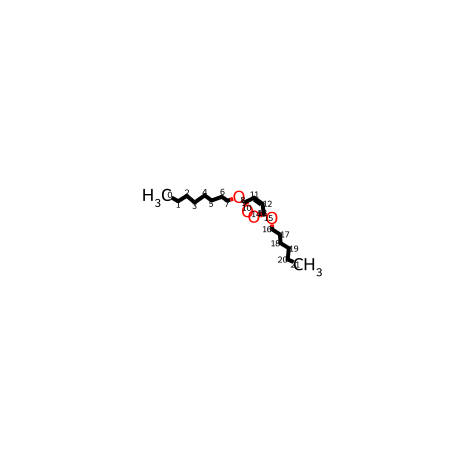 CCCCCCCCOC(=O)/C=C\C(=O)OCCCCCC